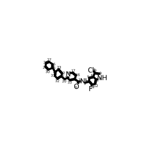 O=C(NCc1cc2c(Cl)c[nH]c2cc1F)c1ccnc(Cc2ccc(-c3ccccc3)cc2)c1